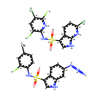 N#Cc1ccc(NS(=O)(=O)c2c[nH]c3cc(N=[N+]=[N-])ccc23)c(F)c1.O=S(=O)(Nc1nc(F)c(Cl)cc1F)c1c[nH]c2nc(Cl)ccc12